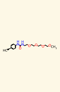 C#Cc1ccc(NC(=O)NCCOCCOCCOCCOC)cc1